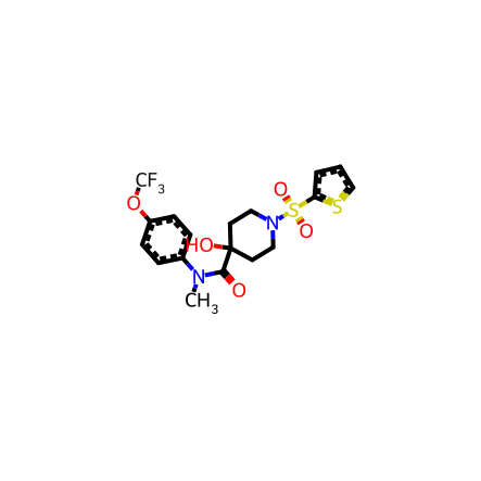 CN(C(=O)C1(O)CCN(S(=O)(=O)c2cccs2)CC1)c1ccc(OC(F)(F)F)cc1